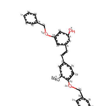 COc1cc(C=Cc2cc(O)cc(OCc3ccccc3)c2)ccc1OCc1ccccc1